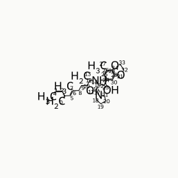 C=C(/C=C\C)/C=C(\C)CCC(=O)C(=C)N[C@H](CN1CCCC1)[C@H](O)c1cc(C)c2c(c1)OCCO2